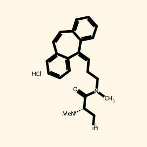 CN[C@@H](CC(C)C)C(=O)N(C)CCC=C1c2ccccc2C=Cc2ccccc21.Cl